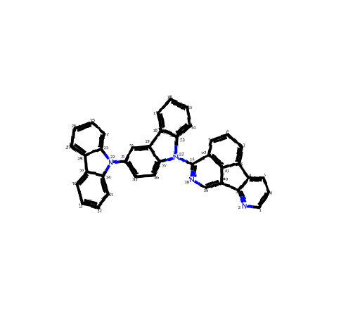 c1cnc2c(c1)-c1cccc3c(-n4c5ccccc5c5cc(-n6c7ccccc7c7ccccc76)ccc54)ncc-2c13